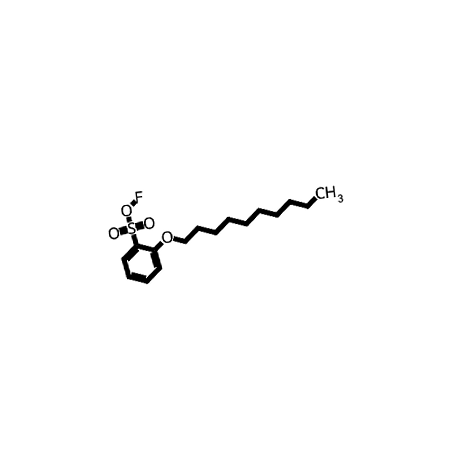 CCCCCCCCCCOc1ccccc1S(=O)(=O)OF